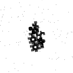 C/C=C/Cc1nn(C(C)(C)C)c(=O)n1Cc1ccc(-c2ccccc2-c2nnn[nH]2)cc1